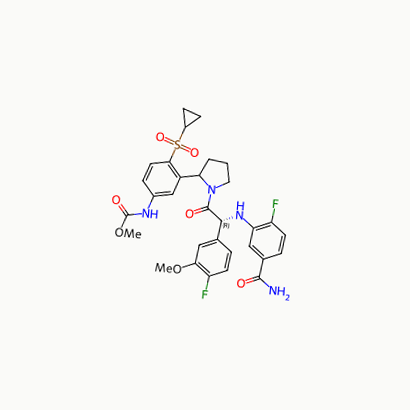 COC(=O)Nc1ccc(S(=O)(=O)C2CC2)c(C2CCCN2C(=O)[C@H](Nc2cc(C(N)=O)ccc2F)c2ccc(F)c(OC)c2)c1